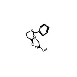 O=C(O)CN1C(=O)CCSC1c1ccccc1